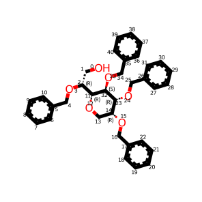 OC[C@@H](OCc1ccccc1)[C@H]1OC[C@@H](OCc2ccccc2)[C@@H](OCc2ccccc2)[C@@H]1OCc1ccccc1